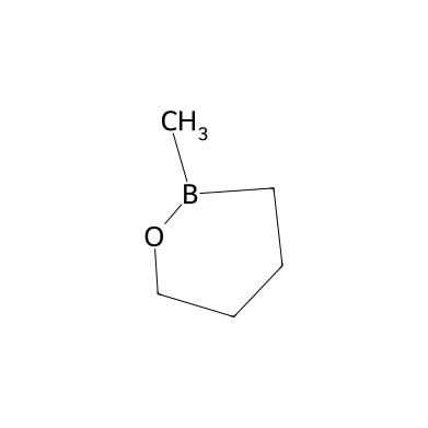 CB1CCCCO1